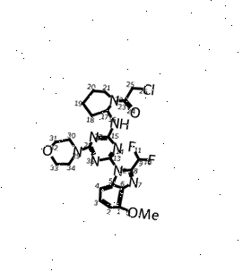 COc1cccc2c1nc(C(F)F)n2-c1nc(NC2CCCCN2C(=O)CCl)nc(N2CCOCC2)n1